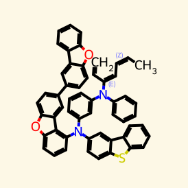 C=C/C(=C\C=C/C)N(c1ccccc1)c1cccc(N(c2ccc3sc4ccccc4c3c2)c2cccc3oc4ccc(-c5ccc6oc7ccccc7c6c5)cc4c23)c1